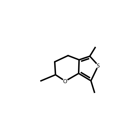 Cc1sc(C)c2c1CCC(C)O2